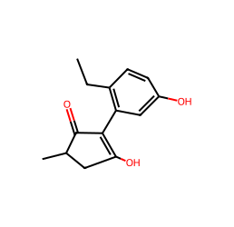 CCc1ccc(O)cc1C1=C(O)CC(C)C1=O